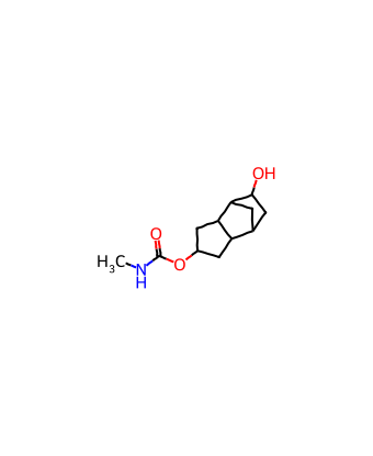 CNC(=O)OC1CC2C3CC(O)C(C3)C2C1